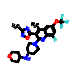 Cc1noc(-c2c(N3CCC(NC4CCOCC4)CC3)nc3c(F)cc(OC(F)(F)F)cc3c2C)n1